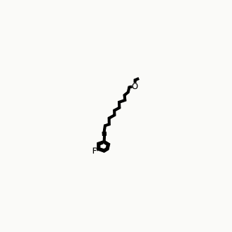 CCOCCCCCCCCCCCC#Cc1cccc(F)c1